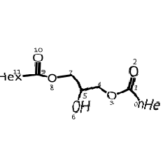 CCCCCCC(=O)OCC(O)COC(=O)CCCCCC